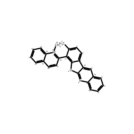 Cc1ccc2c(oc3nc4ccccc4cc32)c1-c1ccc2ccccc2[n+]1C